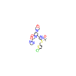 CC(C)(C)C(=O)n1nc(-c2cc(N3CCOCC3)cc(=O)n2CC(=O)c2ncccn2)cc1SCc1ccc(Cl)s1